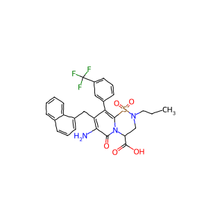 CCCN1CC(C(=O)O)n2c(c(-c3cccc(C(F)(F)F)c3)c(Cc3cccc4ccccc34)c(N)c2=O)S1(=O)=O